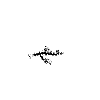 CCCCCCC(CCCCCCCCCCC(=O)O)CCCN(CC)CC.N.[CaH2]